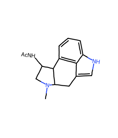 CC(=O)NC1CN(C)C2Cc3c[nH]c4cccc(c34)C12